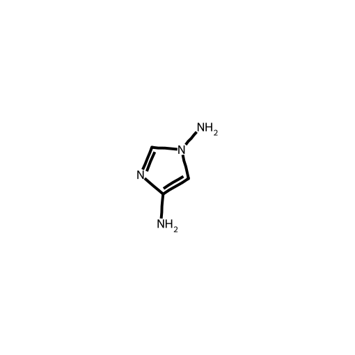 Nc1cn(N)cn1